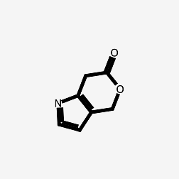 O=C1CC2=C(C=C=N2)CO1